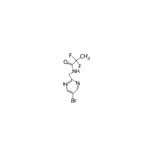 CC(F)(F)C(=O)NCc1ncc(Br)cn1